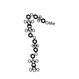 COc1ccc(S(=O)(=O)c2ccc(Oc3cccc(N4C(=O)C5C6C=CC(C5C4=O)C4C(=O)N(c5cccc(Oc7ccc(S(=O)(=O)c8ccc(Oc9cccc(N%10C(=O)C%11C%12C=CC(C%13C(=O)OC(=O)C%12%13)C%11C%10=O)c9)cc8)cc7)c5)C(=O)C64)c3)cc2)cc1